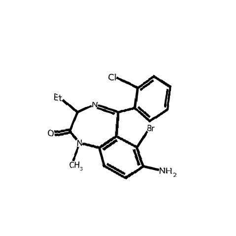 CCC1N=C(c2ccccc2Cl)c2c(ccc(N)c2Br)N(C)C1=O